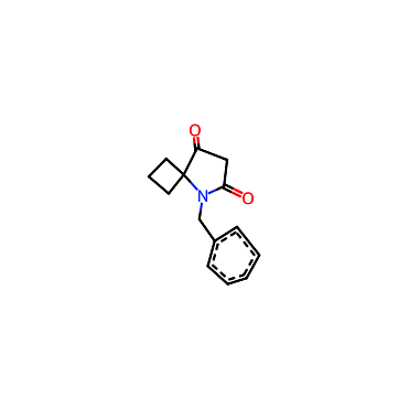 O=C1CC(=O)C2(CCC2)N1Cc1ccccc1